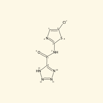 O=C(Nc1ncc(Cl)s1)c1nnn[nH]1